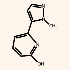 Cn1nccc1-c1cccc(O)n1